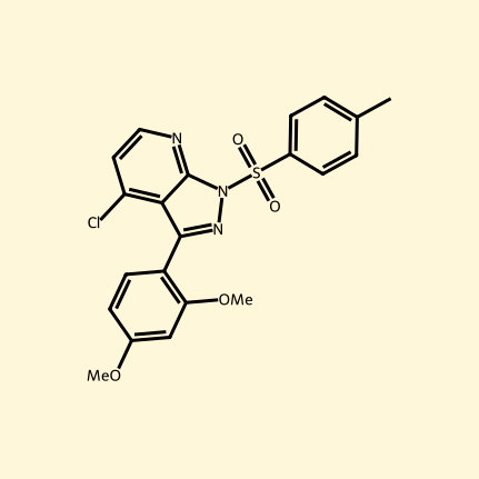 COc1ccc(-c2nn(S(=O)(=O)c3ccc(C)cc3)c3nccc(Cl)c23)c(OC)c1